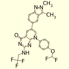 Cc1c2cc(-c3cc4c(=O)nc(NCC(F)(F)F)nc-4n(-c4ccc(OC(F)F)cc4)c3)ccc2nn1C